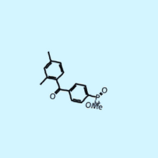 CO[PH](=O)c1ccc(C(=O)c2ccc(C)cc2C)cc1